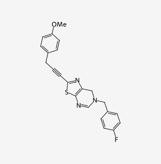 COc1ccc(CC#Cc2nc3c(s2)N=CN(Cc2ccc(F)cc2)C3)cc1